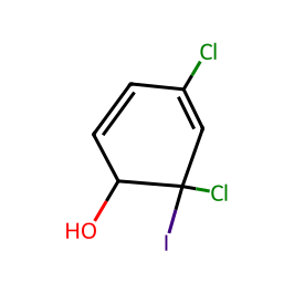 OC1C=CC(Cl)=CC1(Cl)I